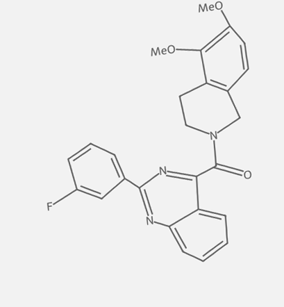 COc1ccc2c(c1OC)CCN(C(=O)c1nc(-c3cccc(F)c3)nc3ccccc13)C2